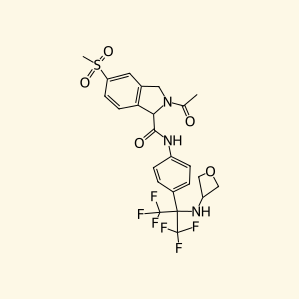 CC(=O)N1Cc2cc(S(C)(=O)=O)ccc2C1C(=O)Nc1ccc(C(NC2COC2)(C(F)(F)F)C(F)(F)F)cc1